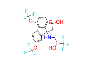 O=C(O)CC(NCC(O)C(F)(F)F)(c1cccc(OC(F)(F)F)c1)c1cccc(OC(F)(F)F)c1